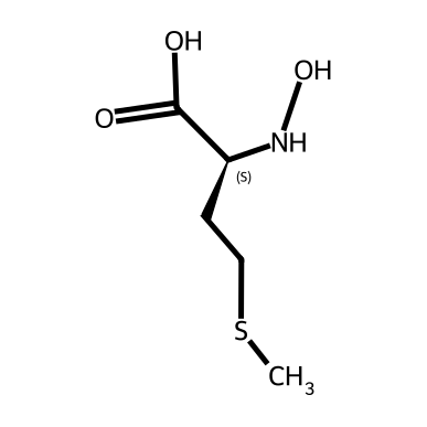 CSCC[C@H](NO)C(=O)O